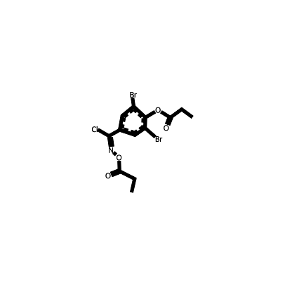 CCC(=O)O/N=C(/Cl)c1cc(Br)c(OC(=O)CC)c(Br)c1